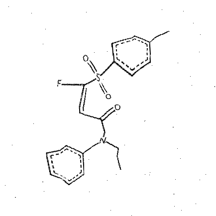 CCN(C(=O)/C=C(/F)S(=O)(=O)c1ccc(C)cc1)c1ccccc1